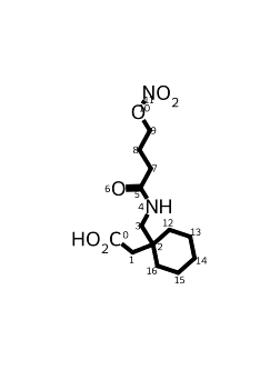 O=C(O)CC1(CNC(=O)CCCO[N+](=O)[O-])CCCCC1